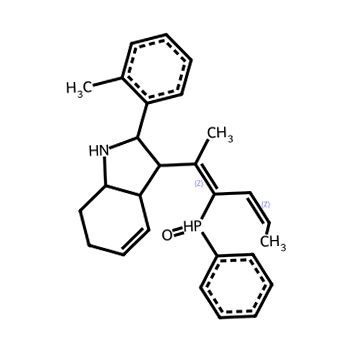 C/C=C\C(=C(/C)C1C(c2ccccc2C)NC2CCC=CC21)[PH](=O)c1ccccc1